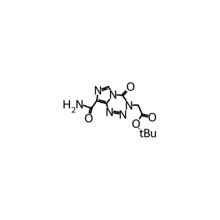 CC(C)(C)OC(=O)Cn1nnc2c(C(N)=O)ncn2c1=O